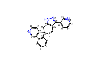 C1=CC(c2ccccc2)(c2ccncc2)Cc2[nH]nc(-c3cccnc3)c21